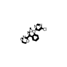 CON=C(C1=NOCCO1)c1ccccc1Oc1cc(Cl)ncn1